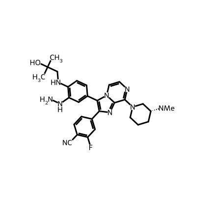 CN[C@@H]1CCCN(c2nccn3c(-c4ccc(NCC(C)(C)O)c(NN)c4)c(-c4ccc(C#N)c(F)c4)nc23)C1